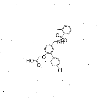 Cc1ccccc1S(=O)(=O)NCc1ccc(OCC(=O)O)c(-c2ccc(Cl)cc2)c1